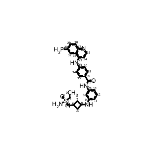 CCS(N)(=O)=NC1CC(Nc2cccc(NC(=O)c3ccc(Nc4ccnc5ccc(P)cc45)cc3)c2)C1